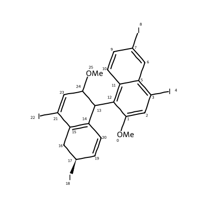 COc1cc(I)c2cc(I)ccc2c1C1C2=C(C[C@H](I)C=C2)C(I)=CC1OC